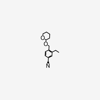 CCc1cc(C#N)ccc1COC1CCCCO1